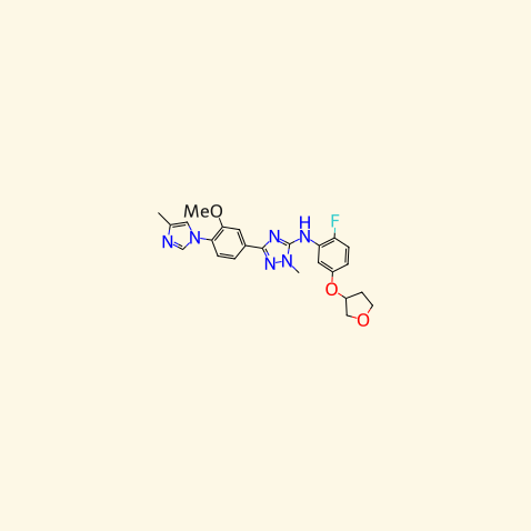 COc1cc(-c2nc(Nc3cc(OC4CCOC4)ccc3F)n(C)n2)ccc1-n1cnc(C)c1